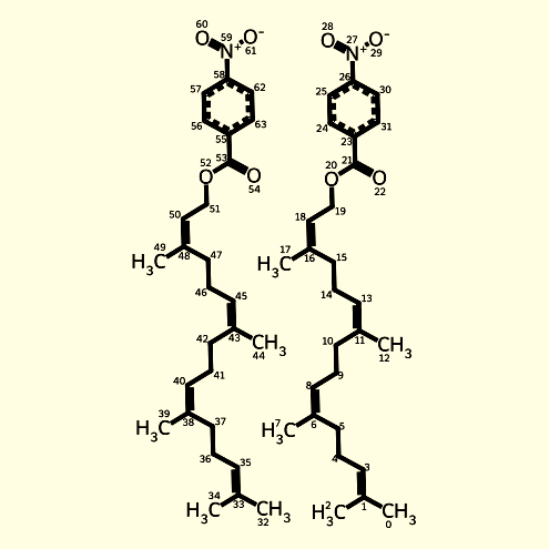 CC(C)=CCCC(C)=CCCC(C)=CCCC(C)=CCOC(=O)c1ccc([N+](=O)[O-])cc1.CC(C)=CCCC(C)=CCCC(C)=CCCC(C)=CCOC(=O)c1ccc([N+](=O)[O-])cc1